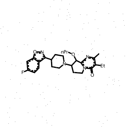 CCCOC1c2nc(C)c(CC)c(=O)n2CCC1N1CCC(c2noc3cc(F)ccc23)CC1